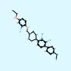 CCOc1ccc(OCC2CCC(c3ccc(-c4ccc(CC)cc4)c(F)c3F)CC2)c(F)c1